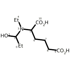 CCC(O)N(CC)C(CCCC(=O)O)C(=O)O